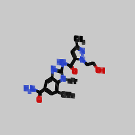 CCCn1c(NC(=O)c2cc(C)nn2CCO)nc2cc(C(N)=O)cc(OC)c21